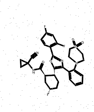 N#CC1(NC(=O)[C@@H]2C[C@@H](F)CC[C@H]2c2oc(-c3ccc(F)cc3F)nc2-c2ccccc2N2CCS(=O)(=O)CC2)CC1